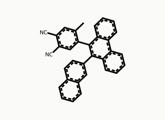 Cc1cc(C#N)c(C#N)cc1-c1c(-c2ccc3ccccc3c2)c2ccccc2c2ccccc12